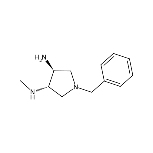 CN[C@H]1CN(Cc2ccccc2)C[C@@H]1N